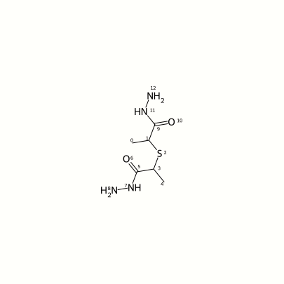 CC(SC(C)C(=O)NN)C(=O)NN